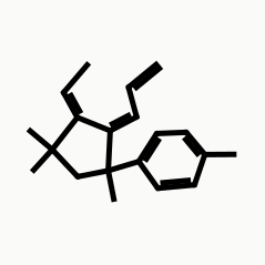 C=C/C=C1\C(=C/C)C(C)(C)CC1(C)c1ccc(C)cc1